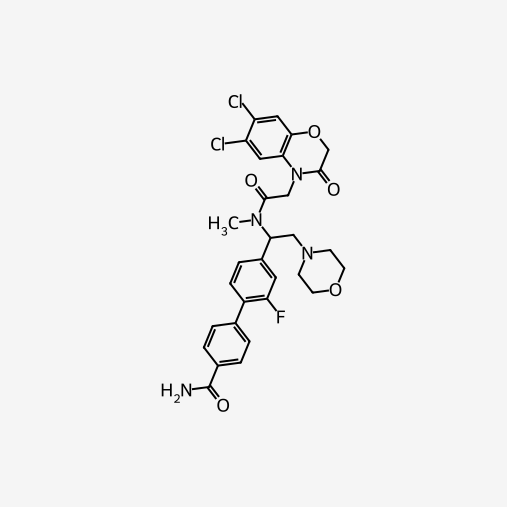 CN(C(=O)CN1C(=O)COc2cc(Cl)c(Cl)cc21)C(CN1CCOCC1)c1ccc(-c2ccc(C(N)=O)cc2)c(F)c1